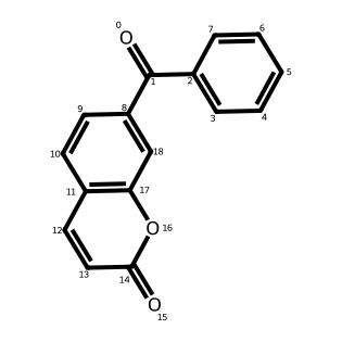 O=C(c1ccccc1)c1ccc2ccc(=O)oc2c1